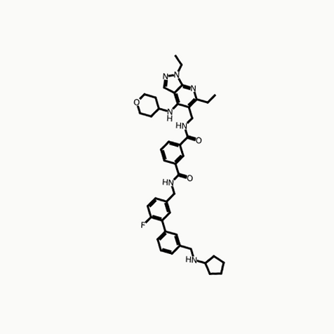 CCc1nc2c(cnn2CC)c(NC2CCOCC2)c1CNC(=O)c1cccc(C(=O)NCc2ccc(F)c(-c3cccc(CNC4CCCC4)c3)c2)c1